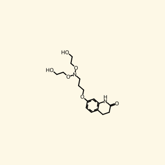 O=C1CCc2ccc(OCCCN(OCCO)OCCO)cc2N1